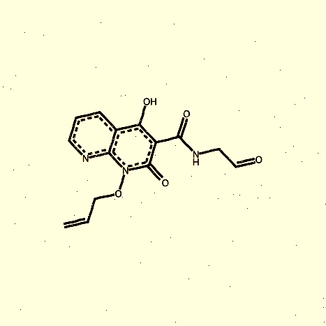 C=CCOn1c(=O)c(C(=O)NCC=O)c(O)c2cccnc21